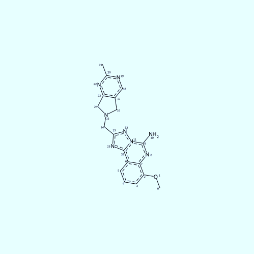 COc1cccc2c1nc(N)n1nc(CN3Cc4cnc(C)nc4C3)nc21